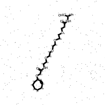 CC(C)C(C=O)NC(=O)CCOCCOCCOCCOCCNC(=O)COC1C#CCCCCC1